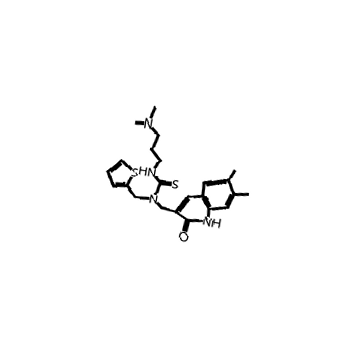 Cc1cc2cc(CN(Cc3cccs3)C(=S)NCCCN(C)C)c(=O)[nH]c2cc1C